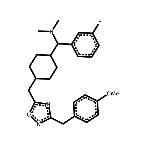 COc1ccc(Cc2noc(CC3CCC(C(c4cccc(F)c4)N(C)C)CC3)n2)cc1